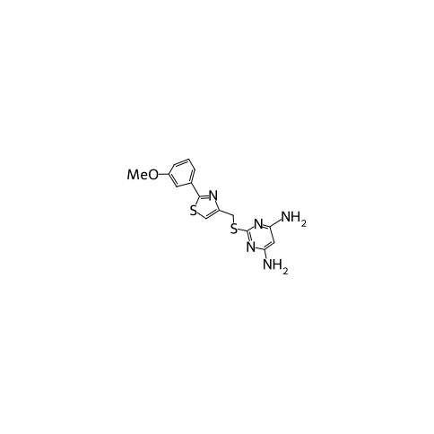 COc1cccc(-c2nc(CSc3nc(N)cc(N)n3)cs2)c1